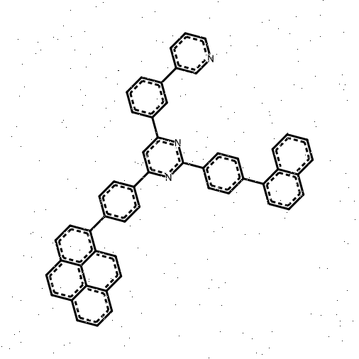 c1cncc(-c2cccc(-c3cc(-c4ccc(-c5ccc6ccc7cccc8ccc5c6c78)cc4)nc(-c4ccc(-c5cccc6ccccc56)cc4)n3)c2)c1